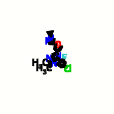 Cc1nc2cc([C@@H]3CCO[C@@H](c4cnn(C5CC5)c4)C3)nc(-c3ccc(Cl)cc3F)c2nc1C